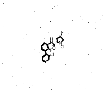 O=C(Nc1cccc(-c2ccccc2Cl)c1F)[C@@H]1C[C@@H](F)CN1Cl